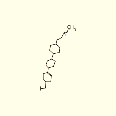 C/C=C/CCC1CCC(C2CCC(c3ccc(CI)cc3)CC2)CC1